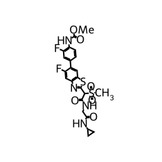 COC(=O)Nc1ccc(-c2cc3sc(C(C(=O)NCC(=O)NC4CC4)S(C)(=O)=O)nc3cc2F)cc1F